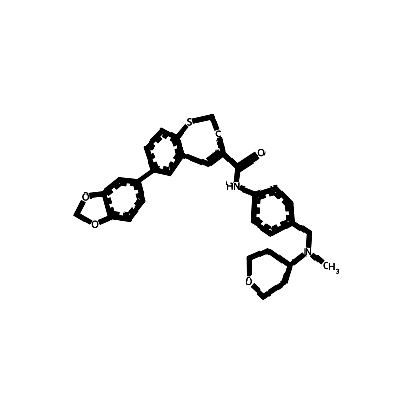 CN(Cc1ccc(NC(=O)C2=Cc3cc(-c4ccc5c(c4)OCO5)ccc3SCC2)cc1)C1CCOCC1